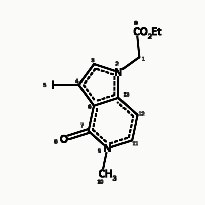 CCOC(=O)Cn1cc(I)c2c(=O)n(C)ccc21